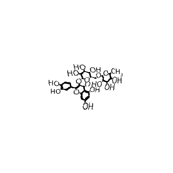 CC1OC(OC[C@H]2O[C@@H](Oc3c(-c4ccc(O)c(O)c4)oc4cc(O)cc(O)c4c3=O)C(O)C(O)C2O)C(O)C(O)C1O